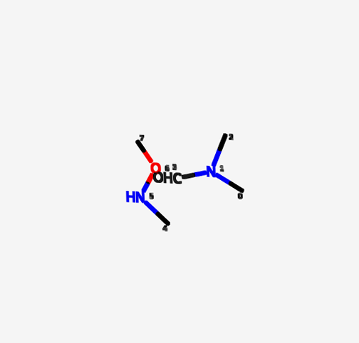 CN(C)C=O.CNOC